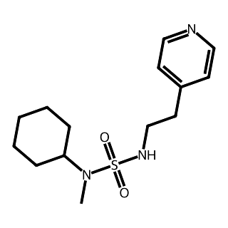 CN(C1CCCCC1)S(=O)(=O)NCCc1ccncc1